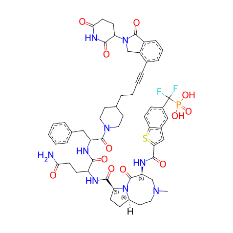 CN1CC[C@H]2CC[C@@H](C(=O)NC(CCC(N)=O)C(=O)NC(Cc3ccccc3)C(=O)N3CCC(CCC#Cc4cccc5c4CN(C4CCC(=O)NC4=O)C5=O)CC3)N2C(=O)[C@@H](NC(=O)c2cc3cc(C(F)(F)P(=O)(O)O)ccc3s2)C1